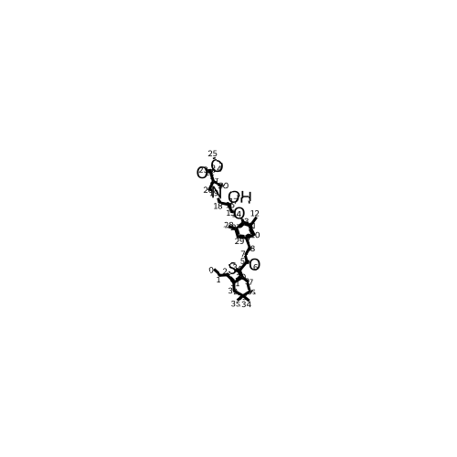 CCc1sc(C(=O)CCc2cc(C)c(OCC(O)CN3CC(C(=O)OC)C3)c(C)c2)c2c1CC(C)(C)CC2